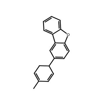 CC1=CCC(c2ccc3oc4ccccc4c3c2)C=C1